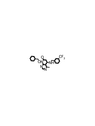 Cc1ncnc2c1c(NCc1cccc(C(F)(F)F)c1)cc(=O)n2OCc1ccccc1